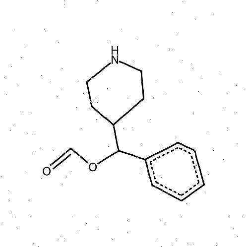 O=COC(c1ccccc1)C1CCNCC1